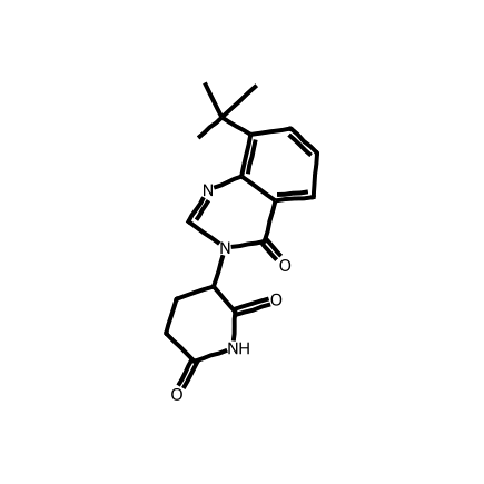 CC(C)(C)c1cccc2c(=O)n(C3CCC(=O)NC3=O)cnc12